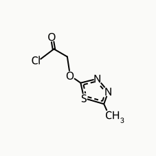 Cc1nnc(OCC(=O)Cl)s1